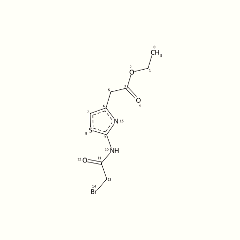 CCOC(=O)Cc1csc(NC(=O)CBr)n1